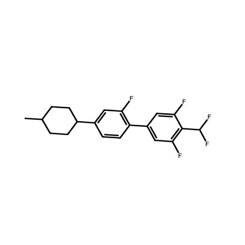 CC1CCC(c2ccc(-c3cc(F)c(C(F)F)c(F)c3)c(F)c2)CC1